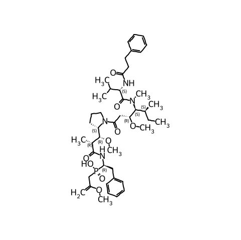 C=C(CP(=O)(O)[C@H](Cc1ccccc1)NC(=O)[C@H](C)[C@@H](OC)[C@@H]1CCCN1C(=O)C[C@@H](OC)[C@H]([C@@H](C)CC)N(C)C(=O)[C@@H](NC(=O)CCc1ccccc1)C(C)C)OC